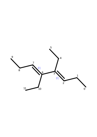 CC/[C]=C(CC)/C(=[C]/CC)CC